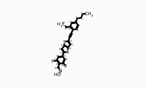 CCCCc1ccc(C#Cc2cc3sc(-c4cc(F)c(/C=N/O)c(F)c4)cc3s2)c(CC)c1